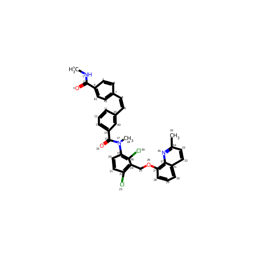 CNC(=O)c1ccc(/C=C\c2cccc(C(=O)N(C)c3ccc(Cl)c(COc4cccc5ccc(C)nc45)c3Cl)c2)cc1